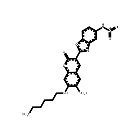 O=C(O)CCCCCNc1cc2oc(=O)c(-c3nc4cc(N[SH](=O)=O)ccc4o3)cc2cc1S(=O)(=O)O